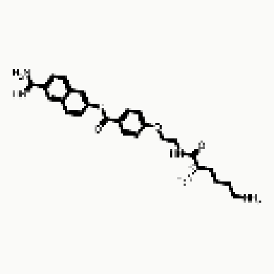 N=C(N)c1ccc2cc(OC(=O)c3ccc(OCCNC(=O)[C@@H](N)CCCCN)cc3)ccc2c1